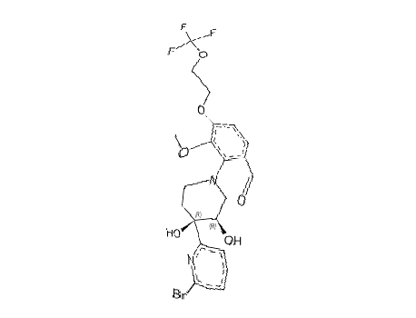 COc1c(OCCOC(F)(F)F)ccc(C=O)c1N1CC[C@@](O)(c2cccc(Br)n2)[C@H](O)C1